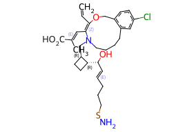 C=C/C1=C(\C=C(/C)C(=O)O)N(C[C@@H]2CC[C@H]2C(O)/C=C/CCCSN)CCCCc2cc(Cl)ccc2CO1